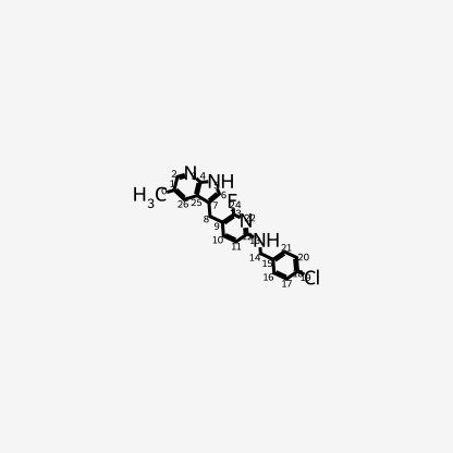 Cc1cnc2[nH]cc(Cc3ccc(NCc4ccc(Cl)cc4)nc3F)c2c1